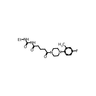 CCNC(=O)NC(=O)CCCC(=O)N1CCN(c2ccc(F)cc2C)CC1